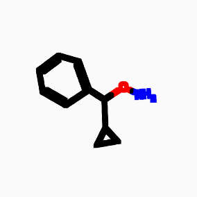 NOC(c1ccccc1)C1CC1